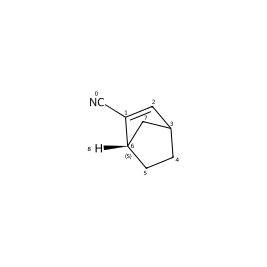 N#CC1=CC2CC[C@H]1C2